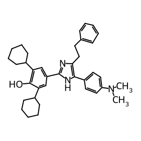 CN(C)c1ccc(-c2[nH]c(-c3cc(C4CCCCC4)c(O)c(C4CCCCC4)c3)nc2CCc2ccccc2)cc1